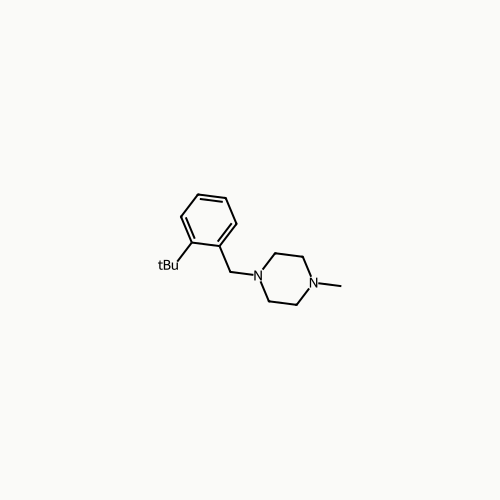 CN1CCN(Cc2ccccc2C(C)(C)C)CC1